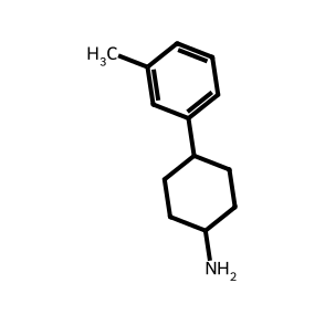 Cc1cccc(C2CCC(N)CC2)c1